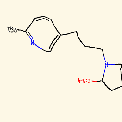 CC(C)(C)c1ccc(CCCN2CCCC2O)cn1